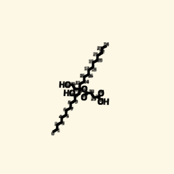 CCCCCCCCCCCCC(CCCCCCCCCCCC)(OC(=O)CCC(=O)O)C(O)CO